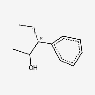 CC[C@H](c1ccccc1)C(C)O